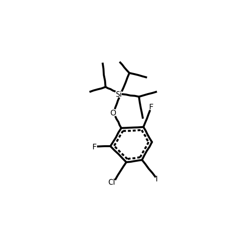 CC(C)[Si](Oc1c(F)cc(I)c(Cl)c1F)(C(C)C)C(C)C